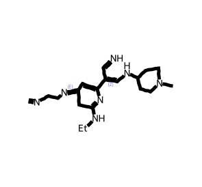 C=NCC/N=C1C=C(/C(C=N)=C/NC2CCN(C)CC2)N=C(NCC)C/1